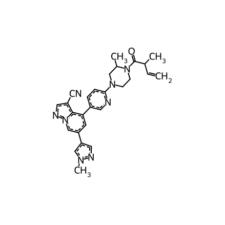 C=CC(C)C(=O)N1CCN(c2ccc(-c3cc(-c4cnn(C)c4)cn4ncc(C#N)c34)cn2)CC1C